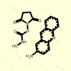 Nc1ccc2nc3ccccc3cc2c1.O=C(NO)ON1C(=O)CCC1=O